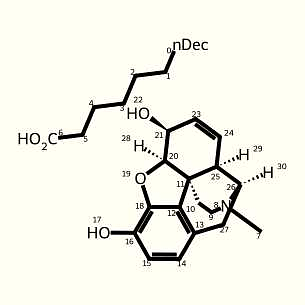 CCCCCCCCCCCCCCCC(=O)O.CN1CC[C@]23c4c5ccc(O)c4O[C@H]2[C@@H](O)C=C[C@H]3[C@H]1C5